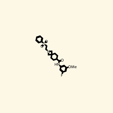 COc1cc(F)cc(NC(=O)C2CCC3(CC2)CN(CCS(=O)(=O)c2ccccc2)C3)c1